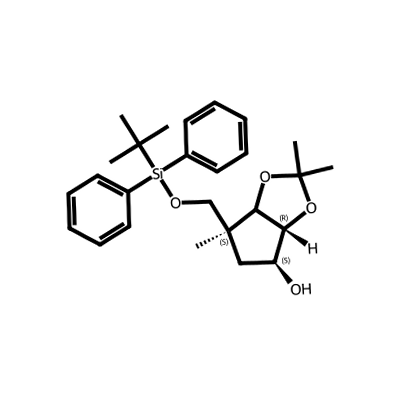 CC1(C)OC2[C@H](O1)[C@@H](O)C[C@@]2(C)CO[Si](c1ccccc1)(c1ccccc1)C(C)(C)C